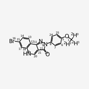 [2H]C([2H])([2H])Oc1ccc(-n2nc3c4ccc(Br)cc4[nH]cc-3c2=O)cc1